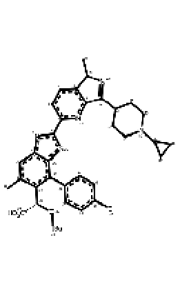 Cc1cc2nc(-c3ccc4c(n3)C(C3CCN(C5CC5)CC3)=NC4C)sc2c(-c2ccc(Cl)cc2)c1[C@H](OC(C)(C)C)C(=O)O